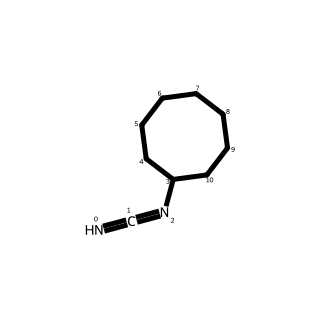 N=C=NC1CCCCCCC1